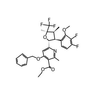 CCOC(=O)c1c(OCc2ccccc2)cc([C@@H]2O[C@@](C)(C(F)(F)F)[C@@H](C)[C@H]2c2ccc(F)c(F)c2OC)nc1C